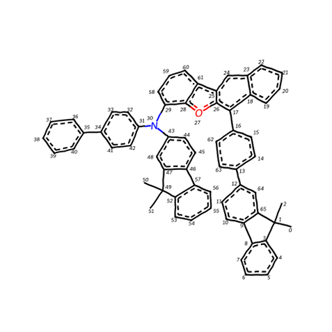 CC1(C)c2ccccc2-c2ccc(-c3ccc(-c4c5ccccc5cc5c4oc4c(N(c6ccc(-c7ccccc7)cc6)c6ccc7c(c6)C(C)(C)c6ccccc6-7)cccc45)cc3)cc21